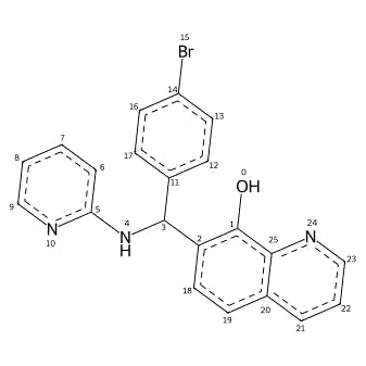 Oc1c(C(Nc2ccccn2)c2ccc(Br)cc2)ccc2cccnc12